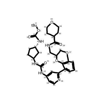 CC(C)(C)OC(=O)N[C@H]1CCC(NC(=O)Nc2ccnc(-c3cccc4c3OC(CNC(=O)C3CCOCC3)CO4)c2)C1